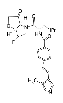 CC(C)C[C@H](NC(=O)c1ccc(/C=C/c2cncn2C)cc1)C(=O)N1CC(F)[C@H]2OCC(=O)[C@H]21